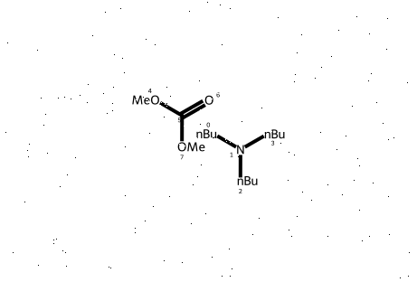 CCCCN(CCCC)CCCC.COC(=O)OC